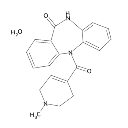 CN1CC=C(C(=O)N2c3ccccc3NC(=O)c3ccccc32)CC1.O